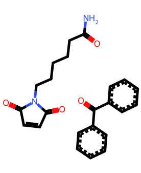 NC(=O)CCCCCN1C(=O)C=CC1=O.O=C(c1ccccc1)c1ccccc1